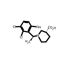 C[C@@H](c1c(O)ccc(Cl)c1Cl)N1CCC[C@@H](C(=O)O)C1